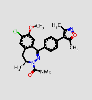 CNC(=O)N1N=C(c2ccc(-c3c(C)noc3C)cc2)c2cc(OC(F)(F)F)c(Cl)cc2C[C@@H]1C